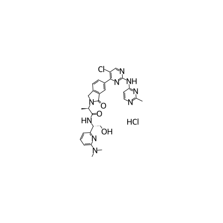 Cc1nccc(Nc2ncc(Cl)c(-c3ccc4c(c3)C(=O)N([C@H](C)C(=O)N[C@H](CO)c3cccc(N(C)C)n3)C4)n2)n1.Cl